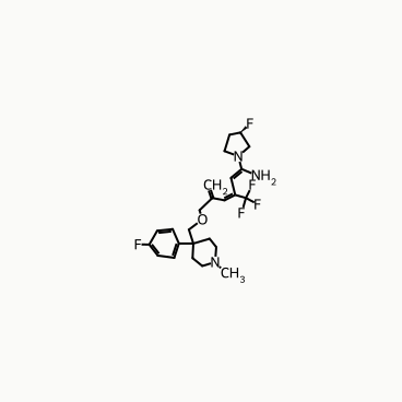 C=C(/C=C(\C=C(/N)N1CC[C@@H](F)C1)C(F)(F)F)COCC1(c2ccc(F)cc2)CCN(C)CC1